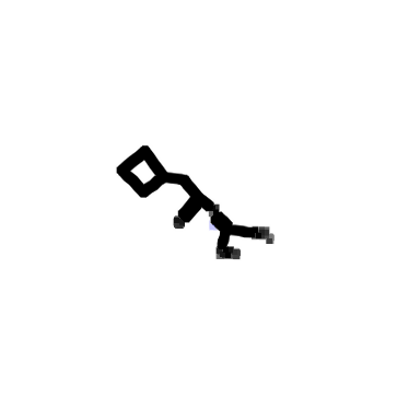 CS/C(N)=N\C(=O)CC1CCC1